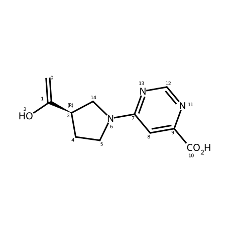 C=C(O)[C@@H]1CCN(c2cc(C(=O)O)ncn2)C1